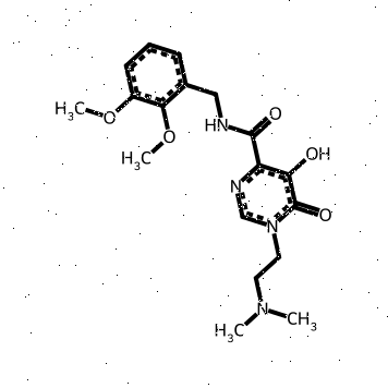 COc1cccc(CNC(=O)c2ncn(CCN(C)C)c(=O)c2O)c1OC